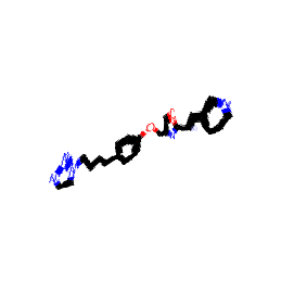 C(=C\c1nc(COc2ccc(CCCCn3ccnn3)cc2)co1)/c1cccnc1